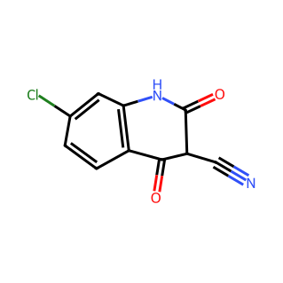 N#CC1C(=O)Nc2cc(Cl)ccc2C1=O